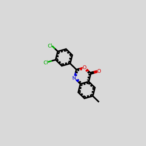 Cc1ccc2nc(-c3ccc(Cl)c(Cl)c3)oc(=O)c2c1